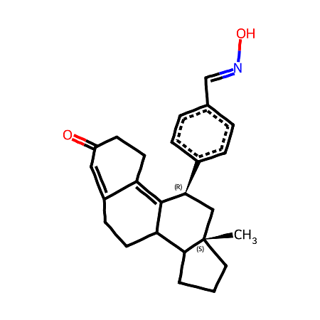 C[C@@]12CCCC1C1CCC3=CC(=O)CCC3=C1[C@@H](c1ccc(C=NO)cc1)C2